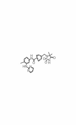 Cc1ccc(NC(=O)c2ccc(CN3C(C)(C)C(=O)NS3(=O)=O)cc2)cc1Nc1ncccn1